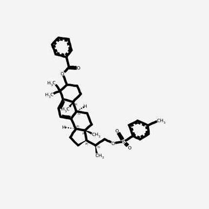 Cc1ccc(S(=O)(=O)OC[C@@H](C)[C@H]2CC[C@H]3C4=CC=C5C(C)(C)C(OC(=O)c6ccccc6)CC[C@]5(C)[C@H]4CC[C@]23C)cc1